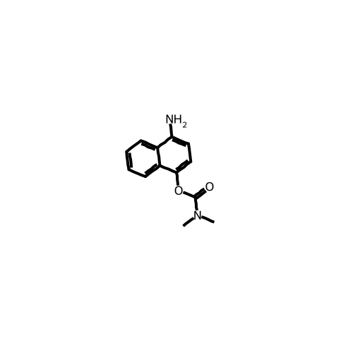 CN(C)C(=O)Oc1ccc(N)c2ccccc12